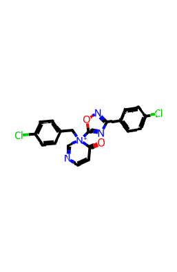 O=C1C=CN=C[N+]1(Cc1ccc(Cl)cc1)c1nc(-c2ccc(Cl)cc2)no1